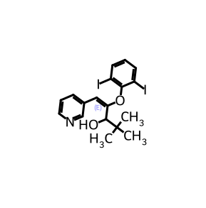 CC(C)(C)C(O)/C(=C\c1cccnc1)Oc1c(I)cccc1I